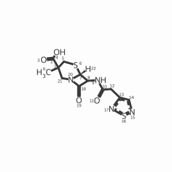 CC1(C(=O)O)CS[C@@H]2C(NC(=O)Cc3cnsn3)C(=O)N2C1